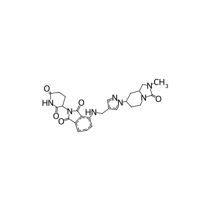 CN1CC2CC(n3cc(CNc4cccc5c4C(=O)N(C4CCC(=O)NC4=O)C5=O)cn3)CCN2C1=O